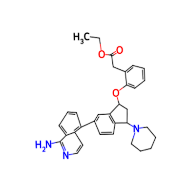 CCOC(=O)Cc1ccccc1OC1CC(N2CCCCC2)c2ccc(-c3cccc4c(N)nccc34)cc21